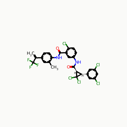 C=C(c1ccc(NC(=O)c2cc(NC(=O)[C@H]3[C@H](c4cc(Cl)cc(Cl)c4)C3(Cl)Cl)ccc2Cl)c(C)c1)C(F)(F)F